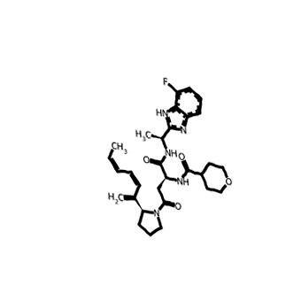 C=C(/C=C\C=C/C)[C@@H]1CCCN1C(=O)C[C@H](NC(=O)C1CCOCC1)C(=O)N[C@@H](C)c1nc2cccc(F)c2[nH]1